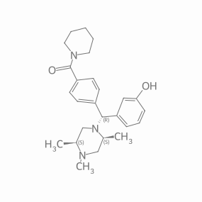 C[C@H]1CN([C@H](c2ccc(C(=O)N3CCCCC3)cc2)c2cccc(O)c2)[C@@H](C)CN1C